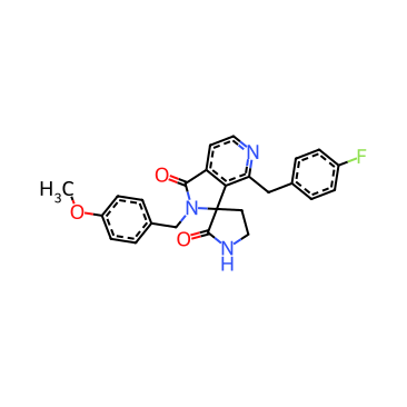 COc1ccc(CN2C(=O)c3ccnc(Cc4ccc(F)cc4)c3C23CCNC3=O)cc1